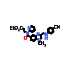 CCOC(=O)CCN(C(=O)c1ccc2c(c1)N=C(CNc1ccc(C#N)cc1)CN2C)c1ccccn1